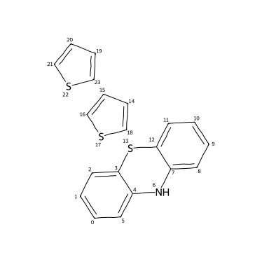 c1ccc2c(c1)Nc1ccccc1S2.c1ccsc1.c1ccsc1